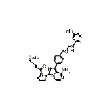 CCCc1ccnc(NCOCc2ccc(-c3nc(C4CCCN4C(=O)/C=C/COC)n4ccnc(N)c34)cc2)c1